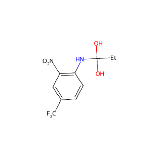 CCC(O)(O)Nc1ccc(C(F)(F)F)cc1[N+](=O)[O-]